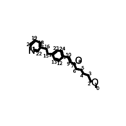 COCCCCCC(=O)C=Cc1ccc(CCc2cccnc2)cc1